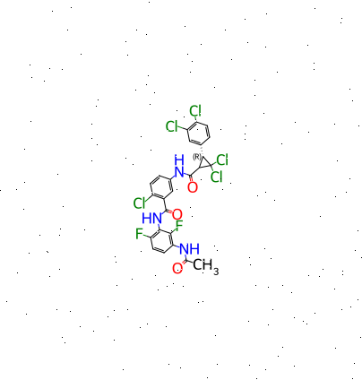 CC(=O)Nc1ccc(F)c(NC(=O)c2cc(NC(=O)C3[C@H](c4ccc(Cl)c(Cl)c4)C3(Cl)Cl)ccc2Cl)c1F